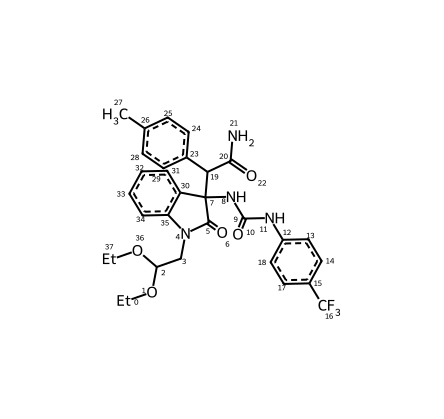 CCOC(CN1C(=O)C(NC(=O)Nc2ccc(C(F)(F)F)cc2)(C(C(N)=O)c2ccc(C)cc2)c2ccccc21)OCC